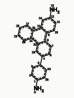 Nc1ccc(-c2ccc3c4ccc(N)cc4c4ccccc4c3c2)cc1